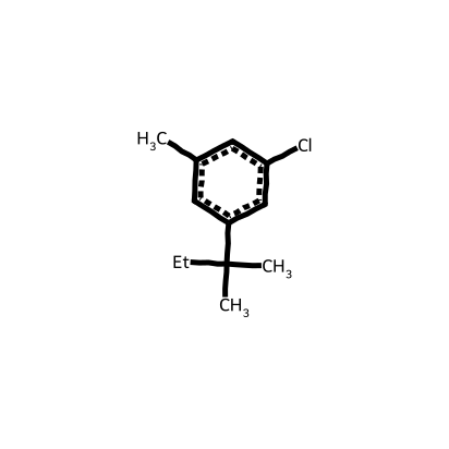 CCC(C)(C)c1cc(C)cc(Cl)c1